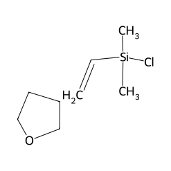 C1CCOC1.C=C[Si](C)(C)Cl